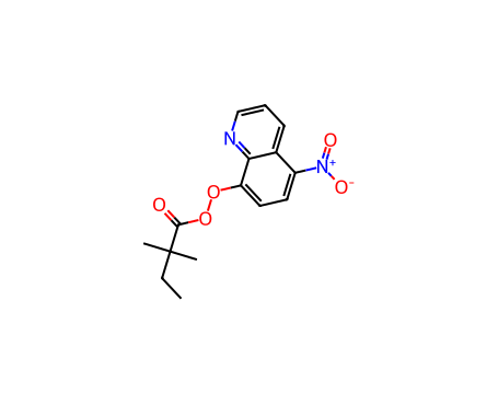 CCC(C)(C)C(=O)OOc1ccc([N+](=O)[O-])c2cccnc12